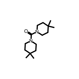 CC1(C)CCN(C(=O)N2CCC(C)(C)CC2)CC1